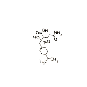 CC(C)C1CC=C(CC(O)(P=O)C(CCC(N)=O)C(=O)O)CC1